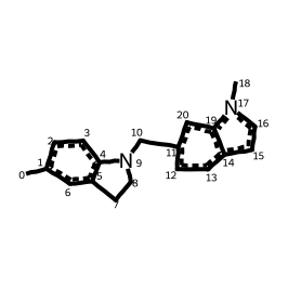 Cc1ccc2c(c1)CCN2Cc1ccc2ccn(C)c2c1